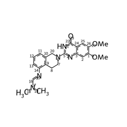 COc1cc2nc(N3CCc4c(cccc4N=CN(C)C)C3)[nH]c(=O)c2cc1OC